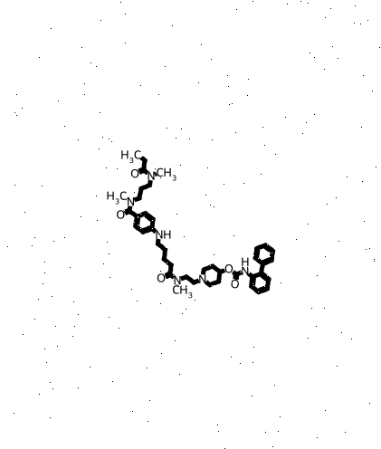 CCC(=O)N(C)CCCN(C)C(=O)c1ccc(NCCCCC(=O)N(C)CCN2CCC(OC(=O)Nc3ccccc3-c3ccccc3)CC2)cc1